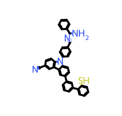 N#Cc1ccc2c(c1)c1cc(-c3cccc(-c4ccccc4S)c3)ccc1n2-c1ccc(/C=N/C(N)c2ccccc2)cc1